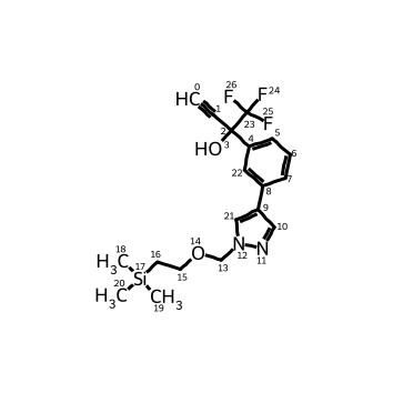 C#CC(O)(c1cccc(-c2cnn(COCC[Si](C)(C)C)c2)c1)C(F)(F)F